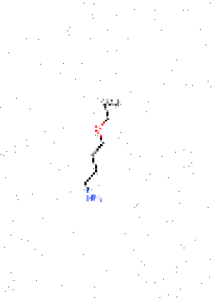 NCCCCOCC(=O)O